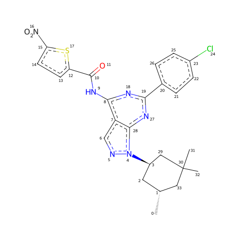 C[C@@H]1C[C@@H](n2ncc3c(NC(=O)c4ccc([N+](=O)[O-])s4)nc(-c4ccc(Cl)cc4)nc32)CC(C)(C)C1